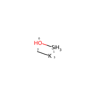 O[SiH3].[CH3][K]